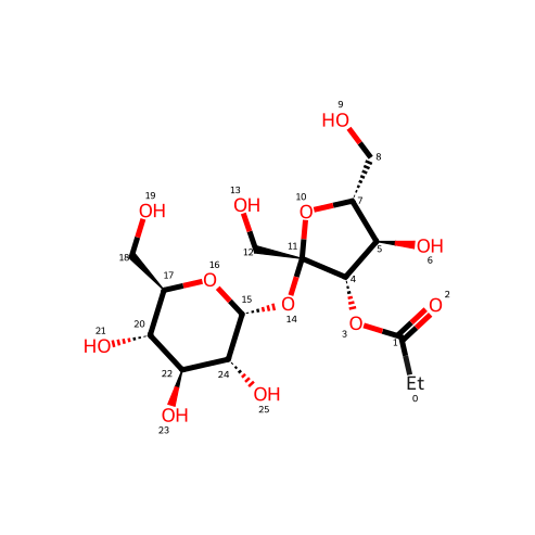 CCC(=O)O[C@H]1[C@H](O)[C@@H](CO)O[C@@]1(CO)O[C@H]1O[C@H](CO)[C@@H](O)[C@H](O)[C@H]1O